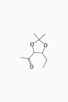 CCC1OC(C)(C)OC1C(C)=O